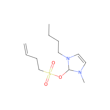 C=CCCS(=O)(=O)OC1N(C)C=CN1CCCC